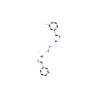 O=C(Nc1nc(-c2cccc(Cl)c2)cs1)C(=O)Nc1nc(-c2cccc(Cl)c2)cs1